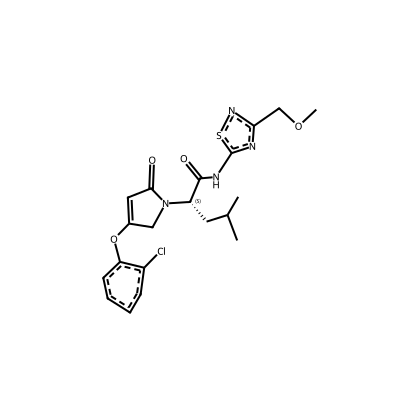 COCc1nsc(NC(=O)[C@H](CC(C)C)N2CC(Oc3ccccc3Cl)=CC2=O)n1